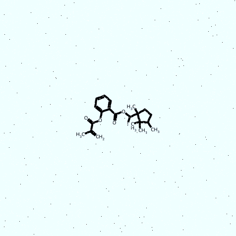 C=C(C)C(=O)Oc1ccccc1C(=O)OC(I)C1(C)CCC(C)C1(C)C